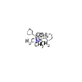 CN([Si](C)(C)C1CCCC1)[Si](C)(C)C1CCCC1